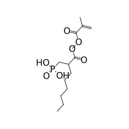 C=C(C)C(=O)OOC(=O)C(CCCCCC)CP(=O)(O)O